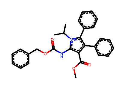 COC(=O)c1c(-c2ccccc2)c(-c2ccccc2)n(C(C)C)c1NC(=O)OCc1ccccc1